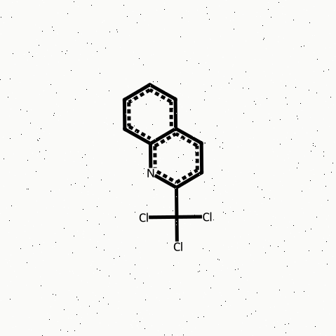 ClC(Cl)(Cl)c1c[c]c2ccccc2n1